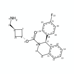 NC[C@H]1C[C@H](OC(=O)N2CCc3ccccc3[C@@H]2c2ccc(F)cc2)C1